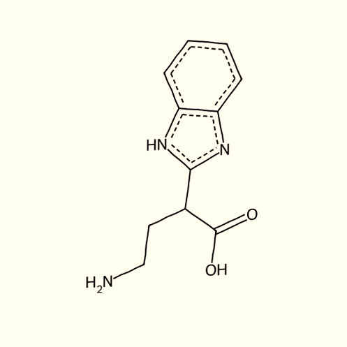 NCCC(C(=O)O)c1nc2ccccc2[nH]1